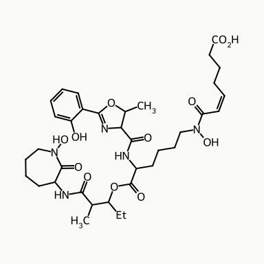 CCC(OC(=O)C(CCCCN(O)C(=O)/C=C\CCCC(=O)O)NC(=O)C1N=C(c2ccccc2O)OC1C)C(C)C(=O)NC1CCCCN(O)C1=O